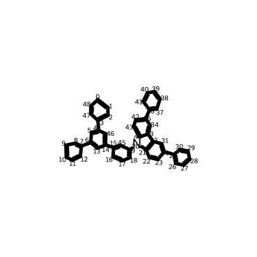 c1ccc(-c2cc(-c3ccccc3)cc(-c3cccc(-n4c5ccc(-c6ccccc6)cc5c5cc(-c6ccccc6)ccc54)c3)c2)cc1